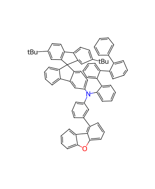 CC(C)(C)c1ccc2c(c1)C1(c3ccccc3-c3cc(N(c4cccc(-c5cccc6oc7ccccc7c56)c4)c4ccccc4-c4ccccc4-c4ccccc4-c4ccccc4)ccc31)c1cc(C(C)(C)C)ccc1-2